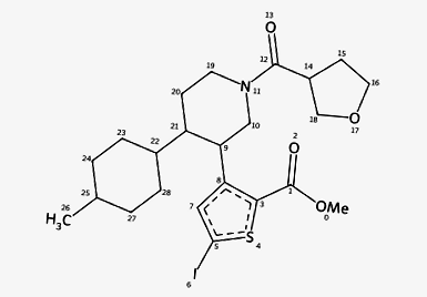 COC(=O)c1sc(I)cc1C1CN(C(=O)C2CCOC2)CCC1C1CCC(C)CC1